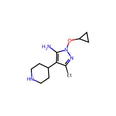 CCc1nn(OC2CC2)c(N)c1C1CCNCC1